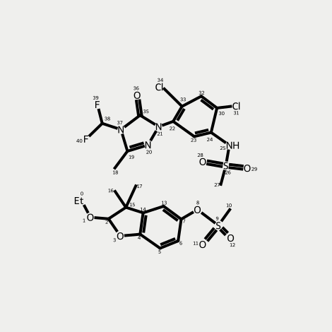 CCOC1Oc2ccc(OS(C)(=O)=O)cc2C1(C)C.Cc1nn(-c2cc(NS(C)(=O)=O)c(Cl)cc2Cl)c(=O)n1C(F)F